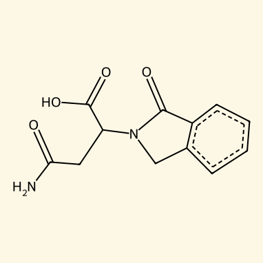 NC(=O)CC(C(=O)O)N1Cc2ccccc2C1=O